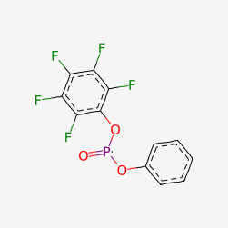 O=[P](Oc1ccccc1)Oc1c(F)c(F)c(F)c(F)c1F